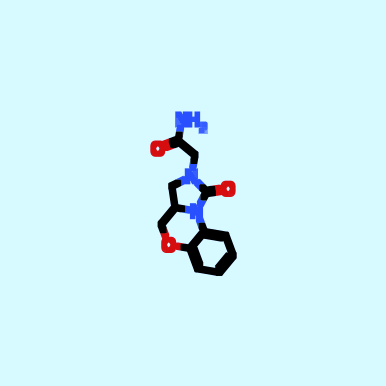 NC(=O)CN1CC2COc3ccccc3N2C1=O